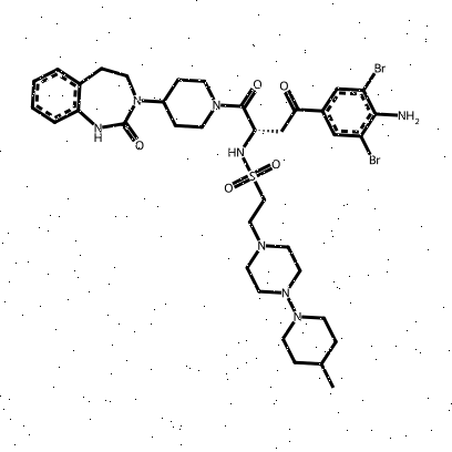 CC1CCN(N2CCN(CCS(=O)(=O)N[C@@H](CC(=O)c3cc(Br)c(N)c(Br)c3)C(=O)N3CCC(N4CCc5ccccc5NC4=O)CC3)CC2)CC1